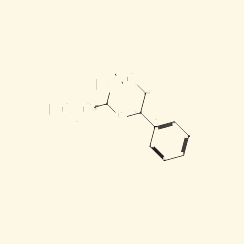 CC(SC(CC#N)c1ccccc1)C(=O)O